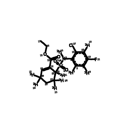 [2H]c1c([2H])c(N([2H])S(=O)(=O)[C@@]2([2H])C(C(=O)OCC)=CC([2H])([2H])CC2([2H])[2H])c(Cl)c([2H])c1F